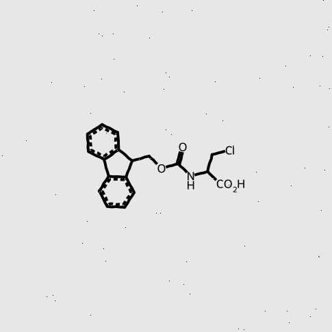 O=C(NC(CCl)C(=O)O)OCC1c2ccccc2-c2ccccc21